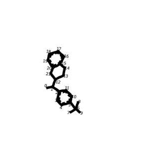 CC(c1ccc(C(C)(C)C)cc1)C1CCc2ccccc2C1